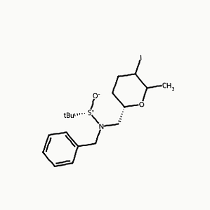 CC1O[C@H](CN(Cc2ccccc2)[S@@+]([O-])C(C)(C)C)CCC1I